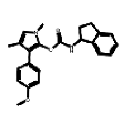 COc1ccc(-c2c(C)cn(C)c2OC(=O)NC2CCc3ccccc32)cc1